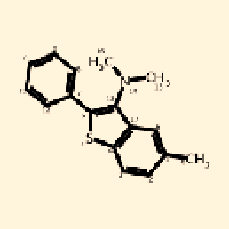 Cc1ccc2sc(-c3ccccc3)c(N(C)C)c2c1